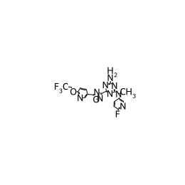 CN(c1ccc(F)nc1)c1nc(N)nc(-c2noc(-c3ccc(OCC(F)(F)F)nc3)n2)n1